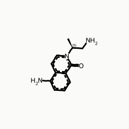 C[C@@H](CN)n1ccc2c(N)cccc2c1=O